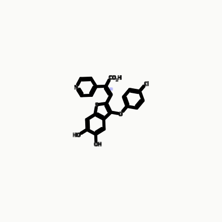 O=C(O)/C(=C/c1sc2cc(O)c(O)cc2c1Oc1ccc(Cl)cc1)c1ccncc1